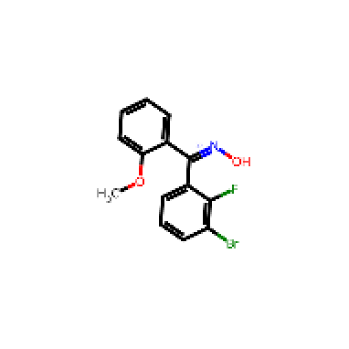 COc1ccccc1/C(=N/O)c1cccc(Br)c1F